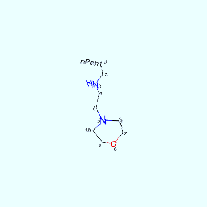 CCCCCCNCCN1CCOCC1